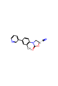 Cc1cc(-c2cccnc2)ccc1N1C[C@H](C#N)OC1=O